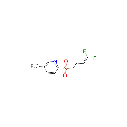 O=S(=O)(CCC=C(F)F)c1ccc(C(F)(F)F)cn1